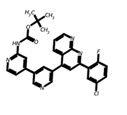 CC(C)(C)OC(=O)Nc1cc(-c2cncc(-c3cc(-c4cc(Cl)ccc4F)nc4ncccc34)c2)ccn1